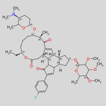 CC[C@H]1CCC[C@H](O[C@H]2CC[C@H](N(C)C)C(C)O2)[C@@H](C)C(=O)C2=C[C@H]3[C@@H]4C[C@H](O[C@@H]5OC(C)[C@H](OC)C(OC)C5OC)C[C@H]4C4C=C(c5ccc(F)cc5)C(=O)C4[C@H]3[C@@H]2CC(=O)O1